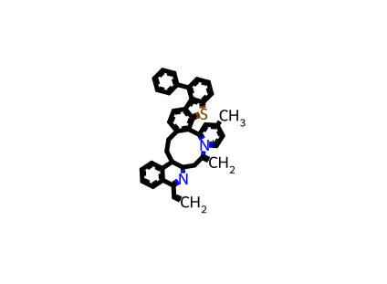 C=CC1=NC2CC(=C)[n+]3ccc(C)cc3-c3c(ccc4c3sc3cccc(-c5ccccc5)c34)CCC2c2ccccc21